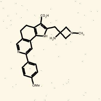 COc1ccc(-c2cc3c(cn2)CCc2c-3[nH]c(CC3(N)CN(C)C3)c2C(=O)O)cc1